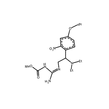 CCCOc1ccc(C(CN=C(N)NC(=O)OC)N(CC)CC)c([N+](=O)[O-])c1